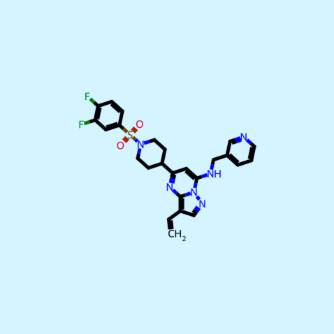 C=Cc1cnn2c(NCc3cccnc3)cc(C3CCN(S(=O)(=O)c4ccc(F)c(F)c4)CC3)nc12